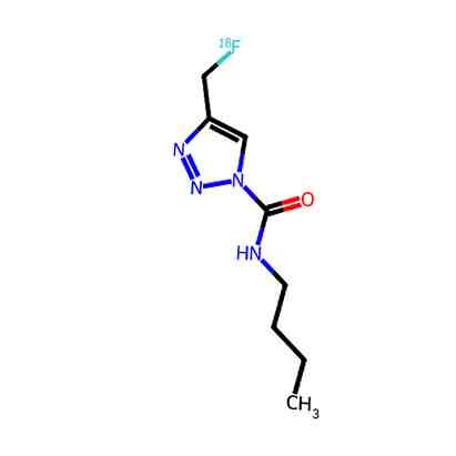 CCCCNC(=O)n1cc(C[18F])nn1